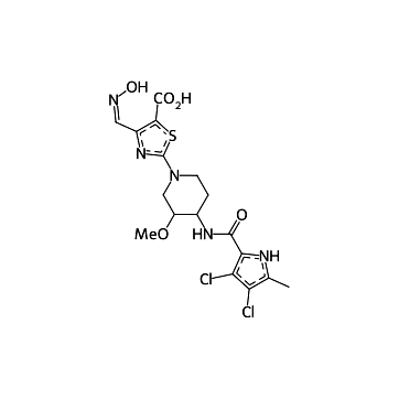 COC1CN(c2nc(/C=N\O)c(C(=O)O)s2)CCC1NC(=O)c1[nH]c(C)c(Cl)c1Cl